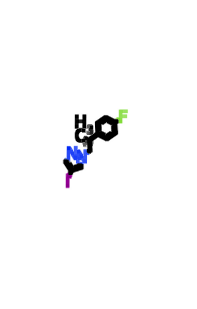 C[C@@H](Cn1cc(I)cn1)c1ccc(F)cc1